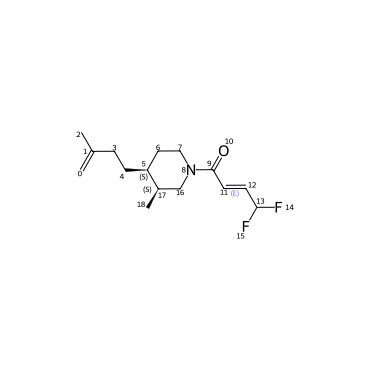 C=C(C)CC[C@H]1CCN(C(=O)/C=C/C(F)F)C[C@H]1C